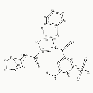 COc1cc(C(=O)N[C@@H](Cc2ccccc2)[C@@H](C)C[C@@H](C)C(=O)NC2CC3CCC2C3)cc(S(C)(=O)=O)n1